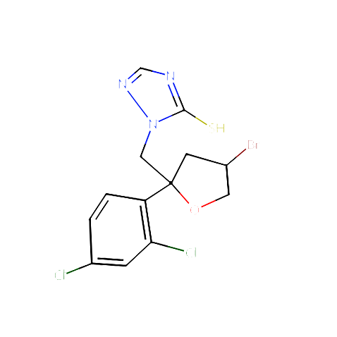 Sc1ncnn1CC1(c2ccc(Cl)cc2Cl)CC(Br)CO1